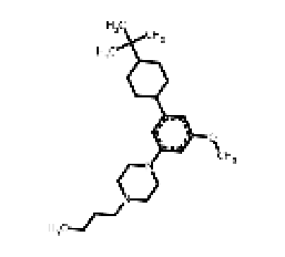 CCCCN1CCN(c2cc(OC)cc(C3CCC(C(C)(C)C)CC3)c2)CC1